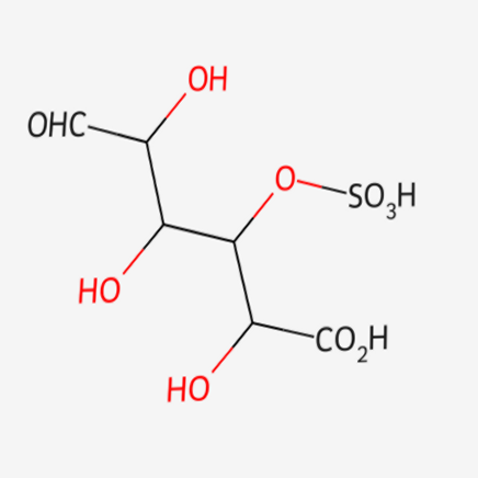 O=CC(O)C(O)C(OS(=O)(=O)O)C(O)C(=O)O